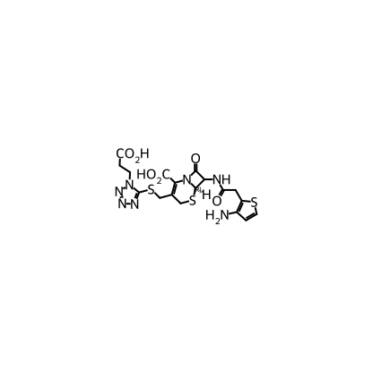 Nc1ccsc1CC(=O)NC1C(=O)N2C(C(=O)O)=C(CSc3nnnn3CCC(=O)O)CS[C@H]12